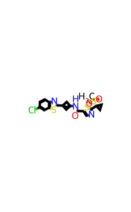 CS(=O)(=O)C1(c2ncc(C(=O)NC34CC(c5nc6ccc(Cl)cc6s5)(C3)C4)s2)CC1